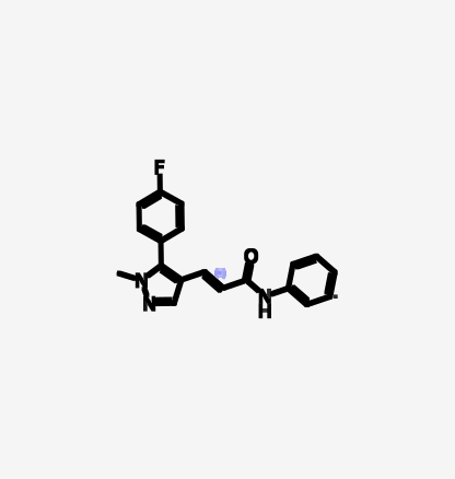 Cn1ncc(/C=C/C(=O)Nc2c[c]ccc2)c1-c1ccc(F)cc1